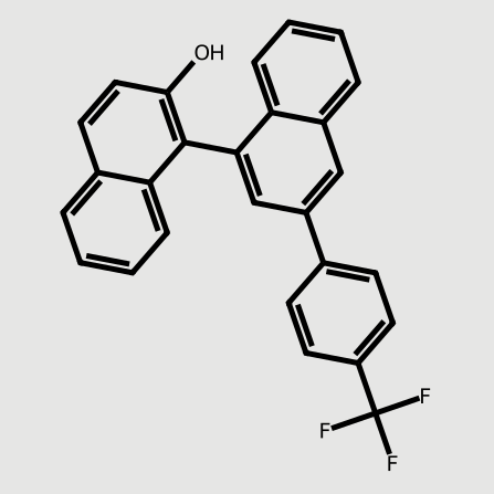 Oc1ccc2ccccc2c1-c1cc(-c2ccc(C(F)(F)F)cc2)cc2ccccc12